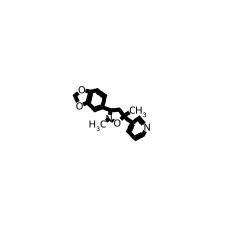 CN1OC(C)(c2cccnc2)CC1c1ccc2c(c1)OCO2